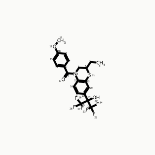 CCC1CN(C(=O)c2ccc(OC)cc2)c2ccc(C(O)(C(F)(F)F)C(F)(F)F)cc2S1